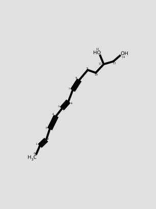 CC#CC#CC#CC#CCCC(O)CO